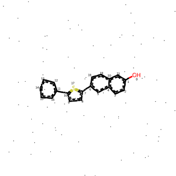 Oc1ccc2cc(-c3ccc(-c4ccccc4)s3)ccc2c1